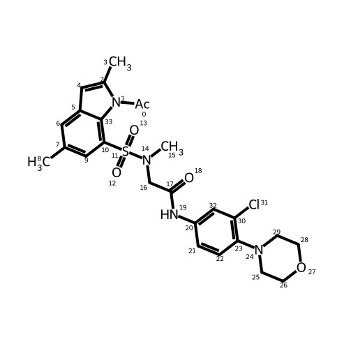 CC(=O)n1c(C)cc2cc(C)cc(S(=O)(=O)N(C)CC(=O)Nc3ccc(N4CCOCC4)c(Cl)c3)c21